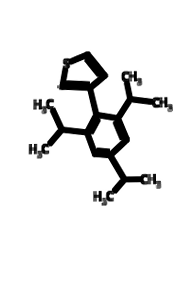 CC(C)c1cc(C(C)C)c(-c2[c]scc2)c(C(C)C)c1